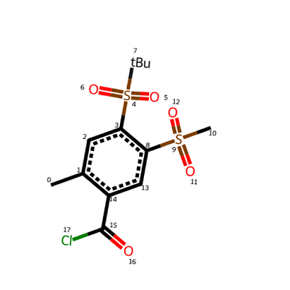 Cc1cc(S(=O)(=O)C(C)(C)C)c(S(C)(=O)=O)cc1C(=O)Cl